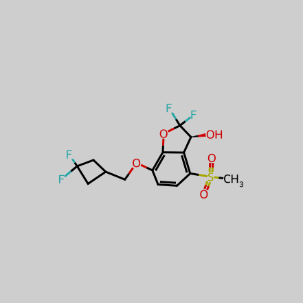 CS(=O)(=O)c1ccc(OCC2CC(F)(F)C2)c2c1[C@H](O)C(F)(F)O2